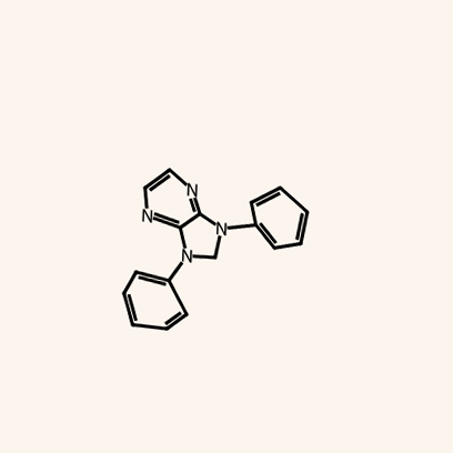 c1ccc(N2CN(c3ccccc3)c3nccnc32)cc1